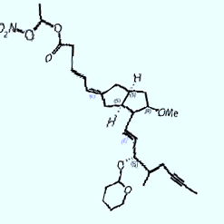 CC#CCC(C)[C@@H](/C=C/C1[C@H]2C/C(=C/CCCC(=O)OC(C)O[N+](=O)[O-])C[C@H]2C[C@H]1OC)OC1CCCCO1